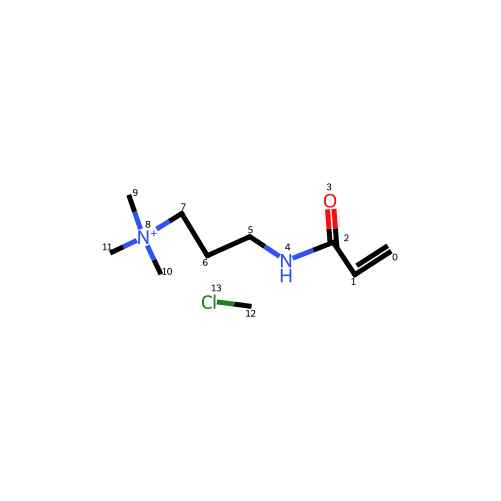 C=CC(=O)NCCC[N+](C)(C)C.CCl